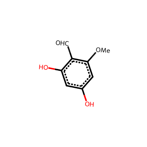 COc1cc(O)cc(O)c1C=O